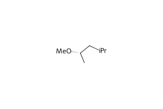 CO[C@@H](C)CC(C)C